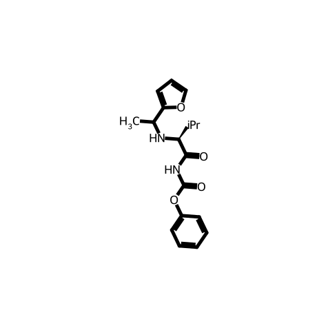 CC(N[C@H](C(=O)NC(=O)Oc1ccccc1)C(C)C)c1ccco1